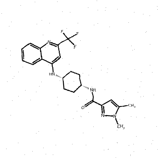 Cc1cc(C(=O)N[C@H]2CC[C@@H](Nc3cc(C(F)(F)F)nc4ccccc34)CC2)nn1C